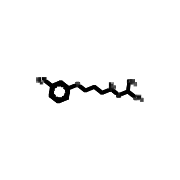 CC(C)O[SiH2]CCCOc1cccc(N)c1